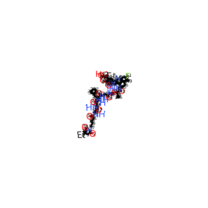 CCC1(C)CC(=O)N(CCCCCC(=O)NCC(=O)NCC(=O)N[C@@H](Cc2ccccc2)C(=O)NCC(=O)NCOC(C(=O)N[C@H]2CCc3c(C)c(F)cc4nc5c(c2c34)Cn2c-5cc3c(c2=O)COC(=O)[C@]3(O)CC)C2CC2)C1=O